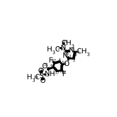 Cc1cc(Oc2cc(F)c(C(=O)NS(C)(=O)=O)cc2F)nc(N(C)C)n1